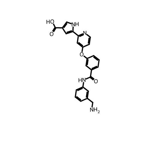 NCc1cccc(NC(=O)c2cccc(Oc3ccnc(-c4cc(C(=O)O)c[nH]4)c3)c2)c1